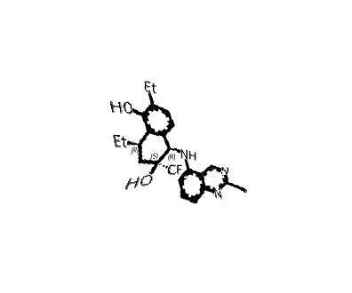 CCc1ccc2c(c1O)[C@H](CC)C[C@@](O)(C(F)(F)F)[C@@H]2Nc1cccc2nc(C)ncc12